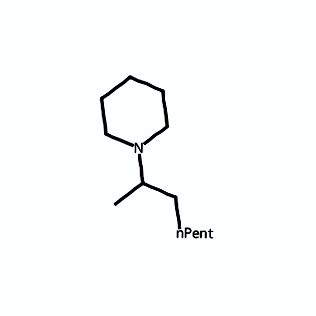 CCCCCCC(C)N1CCCCC1